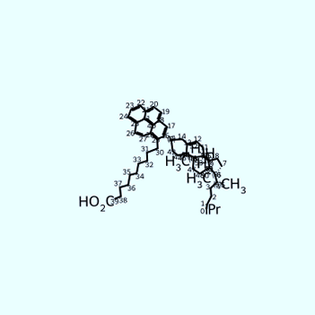 CC(C)CCC[C@@H](C)[C@H]1CC[C@H]2[C@@H]3CC=C4C[C@@H](c5cc6ccc7cccc8ccc(c5CCCCCCCCCC(=O)O)c6c78)CC[C@]4(C)[C@H]3CC[C@]12C